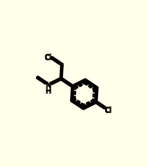 CNC(CCl)c1ccc(Cl)cc1